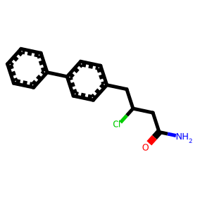 NC(=O)CC(Cl)Cc1ccc(-c2ccccc2)cc1